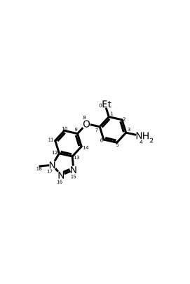 CCc1cc(N)ccc1Oc1ccc2c(c1)nnn2C